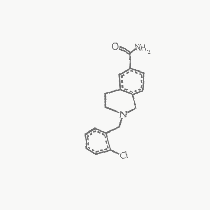 NC(=O)c1ccc2c(c1)CCN(Cc1ccccc1Cl)C2